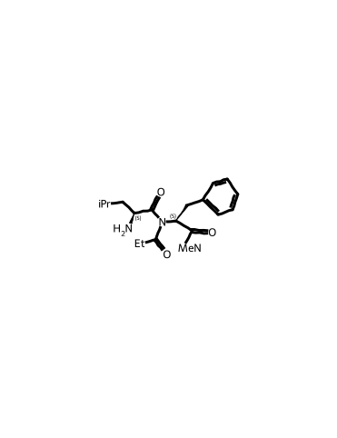 CCC(=O)N(C(=O)[C@@H](N)CC(C)C)[C@@H](Cc1ccccc1)C(=O)NC